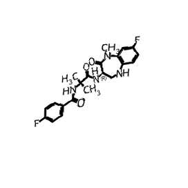 CN1C(=O)[C@H](NC(=O)C(C)(C)NC(=O)c2ccc(F)cc2)CNc2ccc(F)cc21